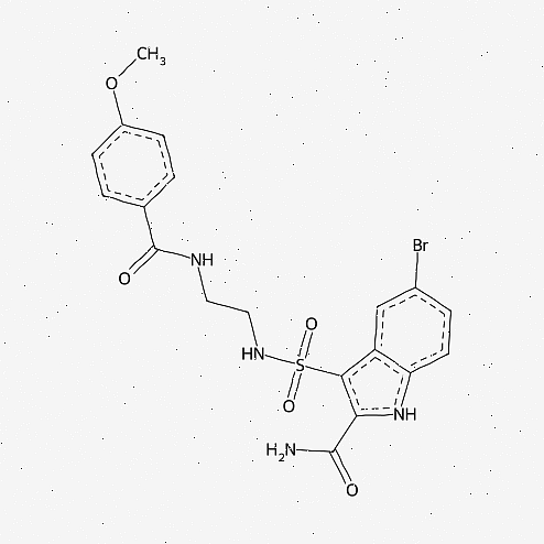 COc1ccc(C(=O)NCCNS(=O)(=O)c2c(C(N)=O)[nH]c3ccc(Br)cc23)cc1